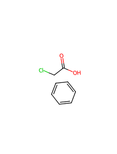 O=C(O)CCl.c1ccccc1